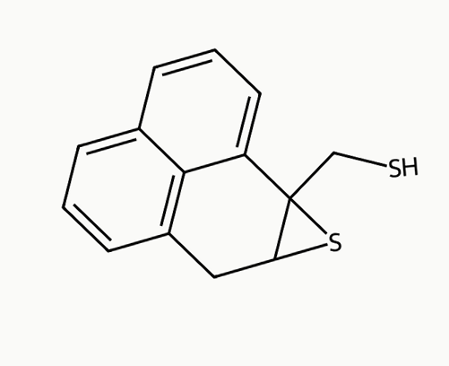 SCC12SC1Cc1cccc3cccc2c13